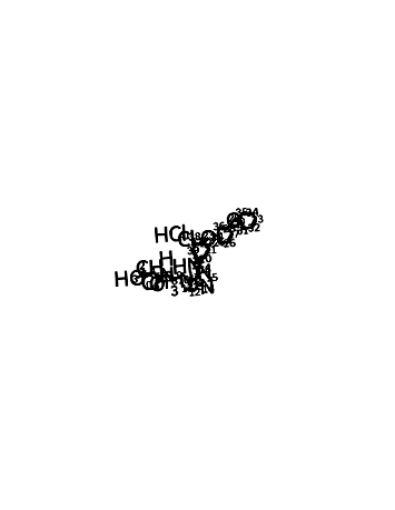 CC(C)(O)CC(=O)NCCn1ccc2ncnc(Nc3ccc(Oc4cccc(Oc5ccccc5)c4)c(Cl)c3)c21.Cl